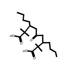 CCCCC(CC(=O)CC(CCCC)C(C)(C)C(=O)O)C(C)(C)C(=O)O